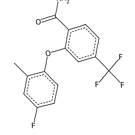 Cc1cc(F)ccc1Oc1cc(C(F)(F)F)ccc1C(N)=O